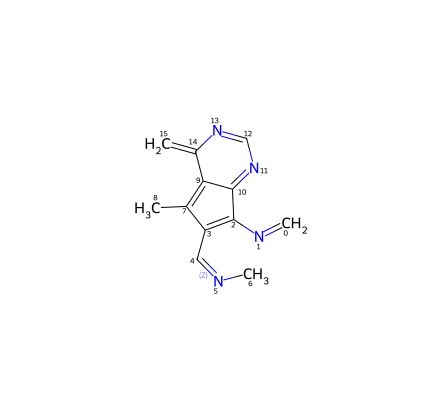 C=NC1=C(/C=N\C)C(C)=c2c1ncnc2=C